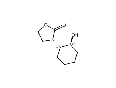 O=C1OCCN1[C@H]1CCCC[C@@H]1O